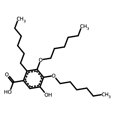 CCCCCCOc1c(O)cc(C(=O)O)c(CCCCCC)c1OCCCCCC